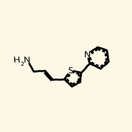 NCC=Cc1ccc(-c2ccccn2)s1